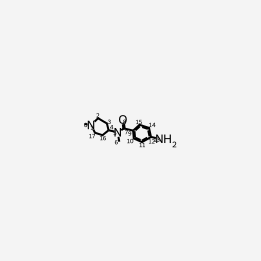 CN1CCC(N(C)C(=O)c2ccc(N)cc2)CC1